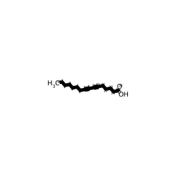 CCCCCCCC#CC#CCCCCC(=O)O